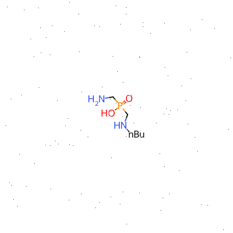 CCCCNCP(=O)(O)CN